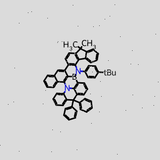 CC(C)(C)c1ccc(N2B3c4cccc5c4N(c4ccccc4C5(c4ccccc4)c4ccccc4)c4c3c(cc3ccccc43)-c3ccc4c(c32)-c2ccccc2C4(C)C)cc1